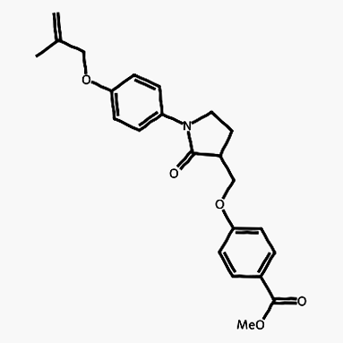 C=C(C)COc1ccc(N2CCC(COc3ccc(C(=O)OC)cc3)C2=O)cc1